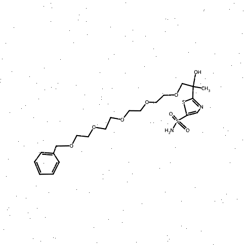 CC(O)(COCCOCCOCCOCCOCc1ccccc1)c1ncc(S(N)(=O)=O)s1